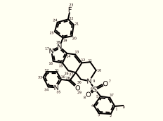 Cc1cccc(S(=O)(=O)N2CCC3=Cc4c(cnn4-c4ccc(F)cc4)CC3(C(=O)c3ccccn3)C2)c1